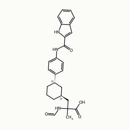 CC(C[C@H]1CCC[C@H](c2ccc(NC(=O)c3cc4ccccc4[nH]3)cc2)C1)(NC=O)C(=O)O